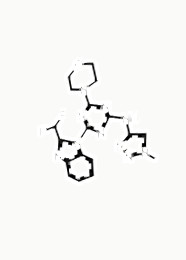 Cn1cc(Nc2nc(N3CCOCC3)nc(-n3c(C(F)F)nc4ccccc43)n2)nn1